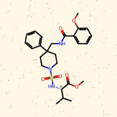 COC(=O)[C@@H](NS(=O)(=O)N1CCC(CNC(=O)c2ccccc2OC)(c2ccccc2)CC1)C(C)C